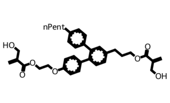 C=C(CO)C(=O)OCCCc1ccc(-c2ccc(OCCOC(=O)C(=C)CO)cc2)c(-c2ccc(CCCCC)cc2)c1